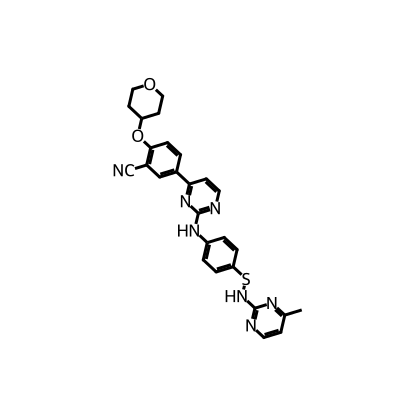 Cc1ccnc(NSc2ccc(Nc3nccc(-c4ccc(OC5CCOCC5)c(C#N)c4)n3)cc2)n1